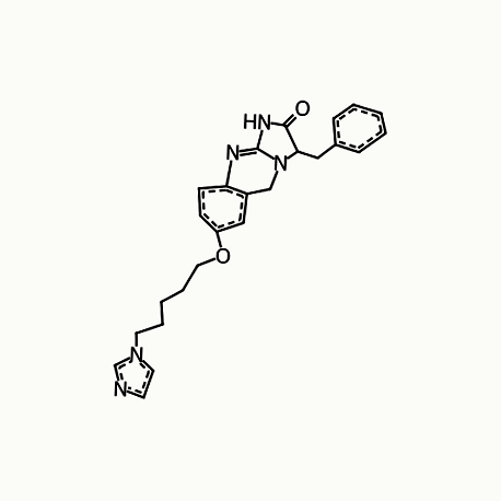 O=C1NC2=Nc3ccc(OCCCCCn4ccnc4)cc3CN2C1Cc1ccccc1